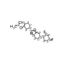 CC(C)Oc1cccc(-c2nc3ccc(-c4ccc(F)cc4F)cc3o2)c1